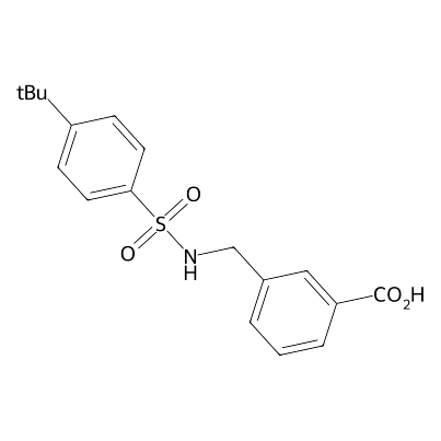 CC(C)(C)c1ccc(S(=O)(=O)NCc2cccc(C(=O)O)c2)cc1